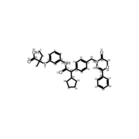 CCC(C)(Sc1cccc(NC(=O)C(c2ccc(CN3N=C(c4ccccc4)OCC3=O)cc2)C2CCCC2)c1)C(=O)O